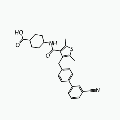 Cc1sc(C)c(C(=O)NC2CCC(C(=O)O)CC2)c1Cc1ccc(-c2cccc(C#N)c2)cc1